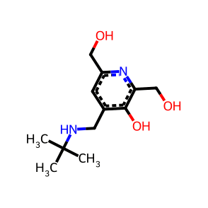 CC(C)(C)NCc1cc(CO)nc(CO)c1O